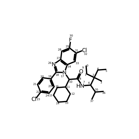 CCC(C)(CC)C(NC(=O)C(C1CCCCC1)n1c(-c2ccc(Cl)cc2)nc2cc(F)c(Cl)cc21)C(C)C